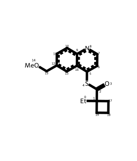 CCC1(C(=O)Sc2ccnc3ccc(COC)cc23)CCC1